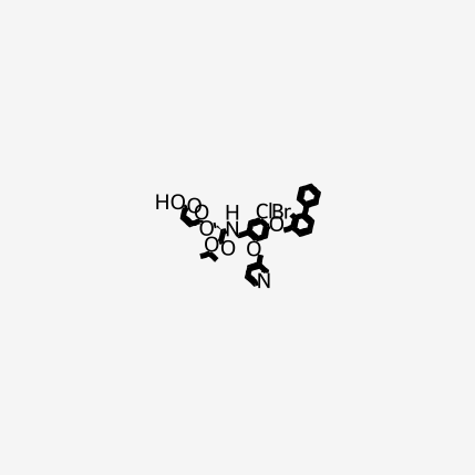 CC(C)OC(=O)[C@H](COC(=O)/C=C\C(=O)O)NCc1cc(Cl)c(OCc2cccc(-c3ccccc3)c2Br)cc1OCc1cccnc1